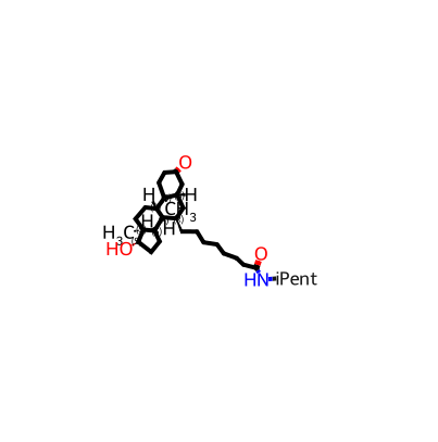 CCCC(C)NC(=O)CCCCCCC[C@@H]1C[C@H]2CC(=O)CC[C@]2(C)[C@H]2CC[C@]3(C)[C@@H](O)CC[C@H]3[C@H]12